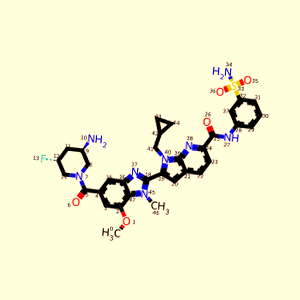 COc1cc(C(=O)N2C[C@H](N)C[C@@H](F)C2)cc2nc(-c3cc4ccc(C(=O)Nc5cccc(S(N)(=O)=O)c5)nc4n3CC3CC3)n(C)c12